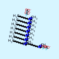 CCCCCCCCCC[n+]1ccn(C)c1.CCCCCCCCCC[n+]1ccn(C)c1.CCCCCCCCCC[n+]1ccn(C)c1.CCCCCCCCCC[n+]1ccn(C)c1.CCCCCCCCCC[n+]1ccn(C)c1.CCCCCCCCCC[n+]1ccn(C)c1.CCCCCCCCCC[n+]1ccn(C)c1.CCCCCCCCCC[n+]1ccn(C)c1.[O-]B([O-])F.[O-]B([O-])F.[O-]B([O-])F.[O-]B([O-])F